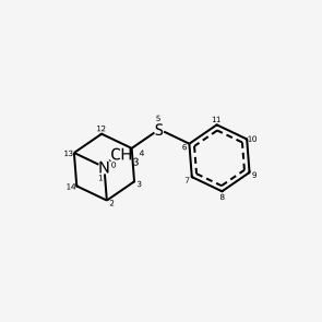 CN1C2CC(Sc3ccccc3)CC1C2